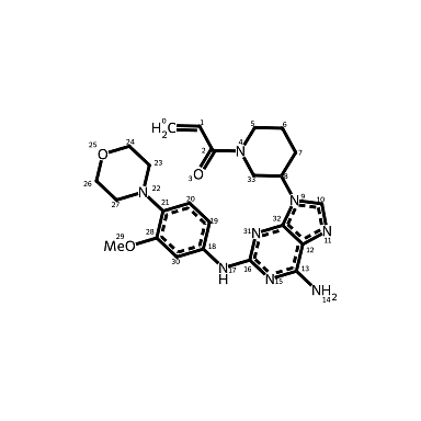 C=CC(=O)N1CCCC(n2cnc3c(N)nc(Nc4ccc(N5CCOCC5)c(OC)c4)nc32)C1